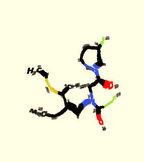 C=CSC(=C)/C(=C\N(CC(=O)N1CCC(F)C1)C(=O)F)COC